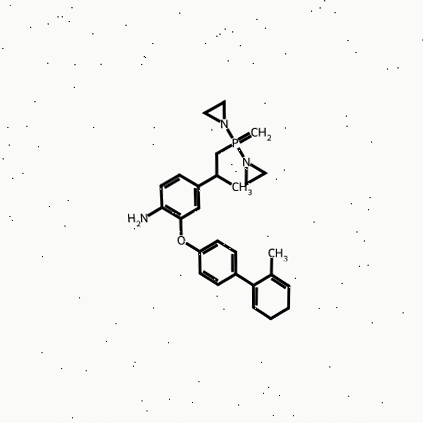 C=P(CC(C)c1ccc(N)c(Oc2ccc(C3=CCCC=C3C)cc2)c1)(N1CC1)N1CC1